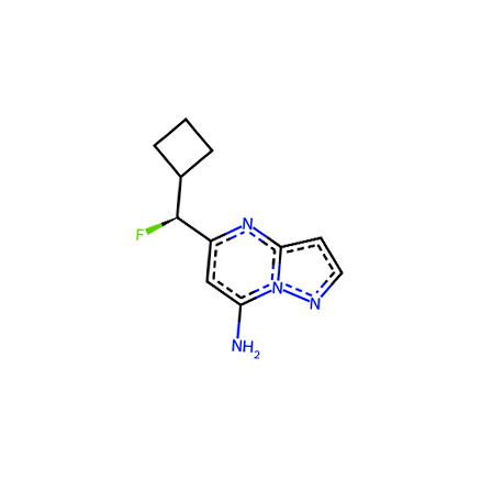 Nc1cc([C@@H](F)C2CCC2)nc2ccnn12